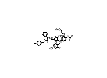 COCCOc1cc([C@H](Cc2c(Cl)c[n+](O)cc2Cl)c2cc(CNC(C(=O)OCC3CCN(C)CC3)c3ccccc3)sc2C(=O)[O-])ccc1OC(F)F